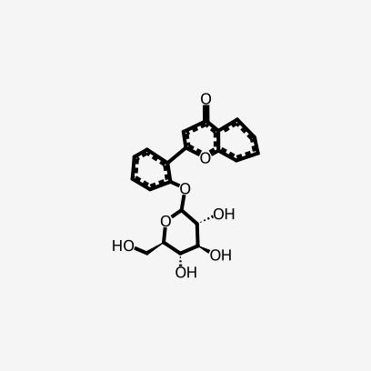 O=c1cc(-c2ccccc2OC2O[C@H](CO)[C@@H](O)[C@H](O)[C@H]2O)oc2ccccc12